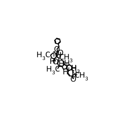 CC1=C2C[C@H]3[C@@H](CC[C@@H]4CN(C)C(=O)C=C[C@@]43C)[C@@H]2CC[C@@]2(C1)O[C@@H]1C[C@H](C)CN(C(=O)OCc3ccccc3)[C@H]1[C@H]2C